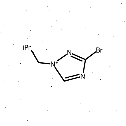 CC(C)C[N+]1C=NC(Br)=N1